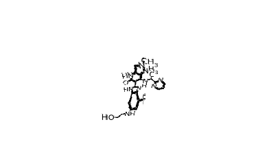 C[C@H](Nc1c(-c2nc3c(F)cc(NCCO)cc3[nH]2)c(=O)[nH]c2cn(C)nc12)c1ncccn1